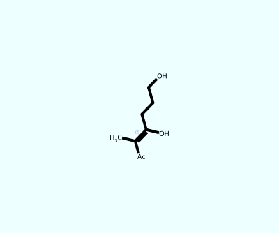 CC(=O)/C(C)=C(\O)CCCO